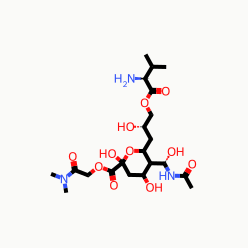 CC(=O)N[C@@H](O)C1C(O)CC(O)(C(=O)OCC(=O)N(C)C)OC1C[C@H](O)COC(=O)[C@@H](N)C(C)C